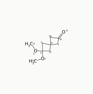 COC1(OC)CC2(CC(=O)C2)C1